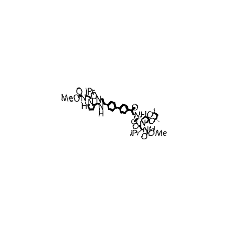 COC(=O)N[C@H](C(=O)N1CCCC1c1ncc(-c2ccc(-c3ccc(C(=O)CNC(=O)[C@@H]4CC5(CN4C(=O)[C@@H](NC(=O)OC)C(C)C)O[C@@H](C)C[C@H](C)O5)cc3)cc2)[nH]1)C(C)C